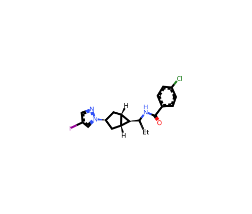 CCC(NC(=O)c1ccc(Cl)cc1)[C@H]1[C@@H]2C[C@@H](n3cc(I)cn3)C[C@@H]21